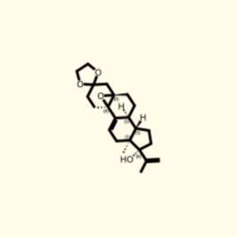 C=C(C)[C@]1(O)CC[C@H]2[C@@H]3CC[C@@]45CC6(CC[C@@]4(O5)C3=CC[C@@]21C)OCCO6